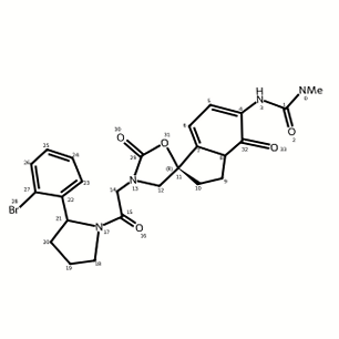 CNC(=O)NC1=CC=C2C(CC[C@]23CN(CC(=O)N2CCCC2c2ccccc2Br)C(=O)O3)C1=O